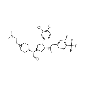 CN(C)CCN1CCN(C(C=O)N2C[C@H](c3ccc(Cl)c(Cl)c3)[C@H](N(C)Cc3ccc(C(F)(F)F)c(F)c3)C2)CC1